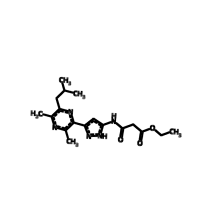 CCOC(=O)CC(=O)Nc1cc(-c2nc(CC(C)C)c(C)nc2C)n[nH]1